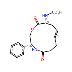 O=C(O)N[C@@H]1C/C=C/CCC(=O)N[C@H](c2ccccc2)COC1=O